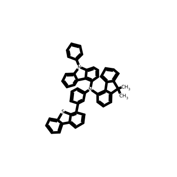 CC1(C)c2ccccc2-c2c(N(c3cccc(-c4cccc5c4sc4ccccc45)c3)c3cccc4c3c3ccccc3n4-c3ccccc3)cccc21